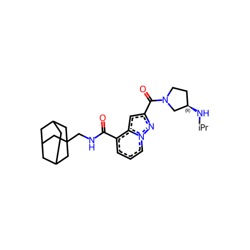 CC(C)N[C@@H]1CCN(C(=O)c2cc3c(C(=O)NCC45CC6CC(CC(C6)C4)C5)cccn3n2)C1